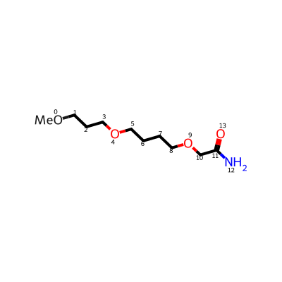 COCCCOCCCCOCC(N)=O